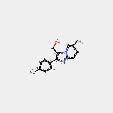 Cc1ccc2nc(-c3ccc(C#N)cc3)c(CO)n2c1